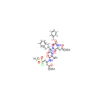 COC(=O)C[C@@H](/C=C(\Cl)S(C)(=O)=O)NC(=O)[C@@H](NC(=O)[C@@H](NC(=O)[C@H](CC(=O)OC)NC(=O)OCc1ccccc1)C1Cc2ccccc2C1)C(C)C